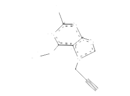 C#CCn1cnc2nc(Cl)nc(SCCCC)c21